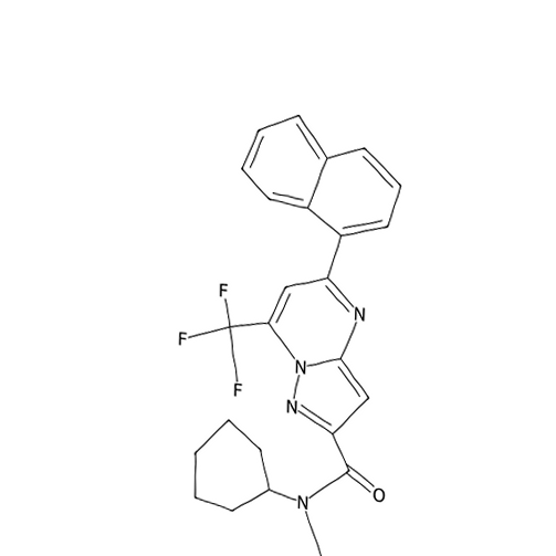 CN(C(=O)c1cc2nc(-c3cccc4ccccc34)cc(C(F)(F)F)n2n1)C1CCCCC1